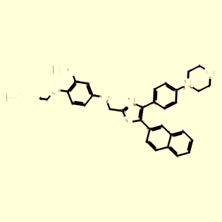 Cc1cc(OCc2nc(-c3ccc(N4CCOCC4)cc3)c(-c3ccc4ccccc4c3)s2)ccc1OCC(=O)O